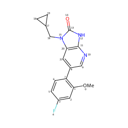 COc1cc(F)ccc1-c1cnc2[nH]c(=O)n(CC3CC3)c2c1